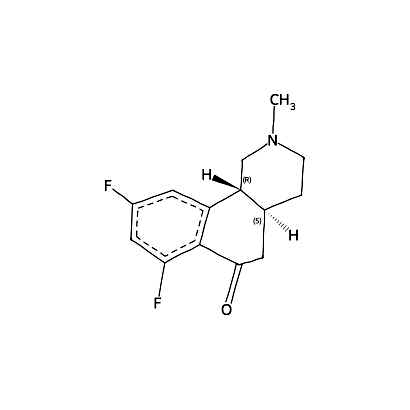 CN1CC[C@H]2CC(=O)c3c(F)cc(F)cc3[C@@H]2C1